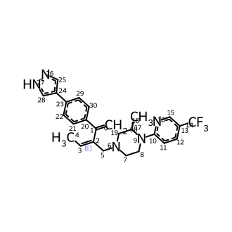 C=C(/C(=C\C)CN1CCN(c2ccc(C(F)(F)F)cn2)[C@H](C)C1)c1ccc(-c2cn[nH]c2)cc1